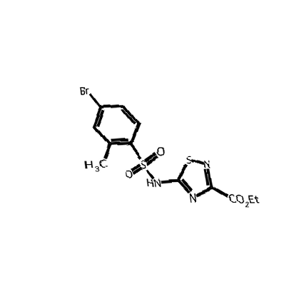 CCOC(=O)c1nsc(NS(=O)(=O)c2ccc(Br)cc2C)n1